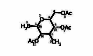 B[C@H]1OC(COC(C)=O)[C@H](OC(C)=O)C(C)C1OC(C)=O